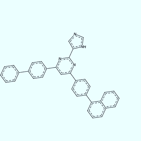 c1ccc(-c2ccc(-c3cc(-c4ccc(-c5cccc6ccccc56)cc4)nc(-c4cnc[nH]4)n3)cc2)cc1